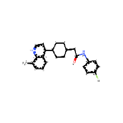 O=C(CC1CCC(c2ccnc3c(C(F)(F)F)cccc23)CC1)Nc1ccc(F)cc1